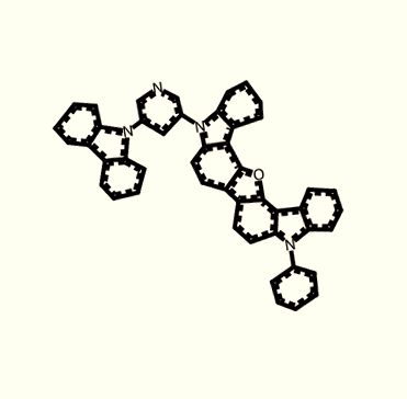 c1ccc(-n2c3ccccc3c3c4oc5c(ccc6c5c5ccccc5n6-c5cncc(-n6c7ccccc7c7ccccc76)c5)c4ccc32)cc1